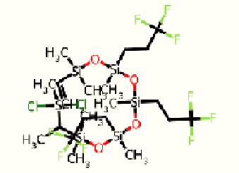 C=C[Si](C)(C)O[Si](C)(CCC(F)(F)F)O[Si](C)(CCC(F)(F)F)O[Si](C)(CCC(F)(F)F)O[Si](C)(C)C(C)[Si](C)(Cl)Cl